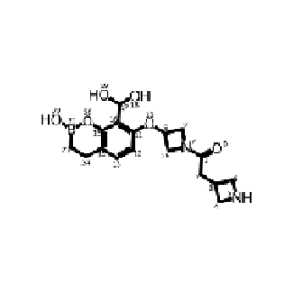 O=C(CC1CNC1)N1CC(Oc2ccc3c(c2C(O)O)OB(O)CC3)C1